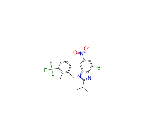 Cc1c(Cn2c(C(C)C)nc3c(Br)cc([N+](=O)[O-])cc32)cccc1C(F)(F)F